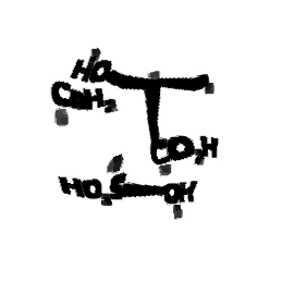 CC(O)C(=O)O.O=S(=O)(O)O.[CaH2]